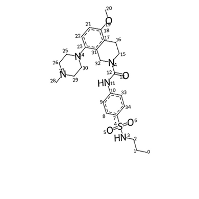 CCCNS(=O)(=O)c1ccc(NC(=O)N2CCc3c(OC)ccc(N4CCN(C)CC4)c3C2)cc1